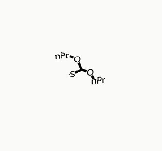 CCCOC([S])OCCC